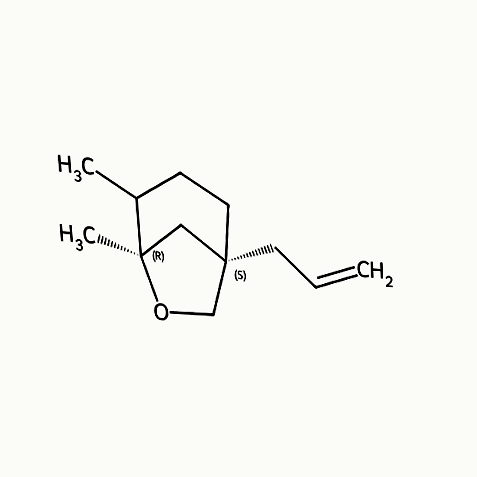 C=CC[C@@]12CCC(C)[C@@](C)(C1)OC2